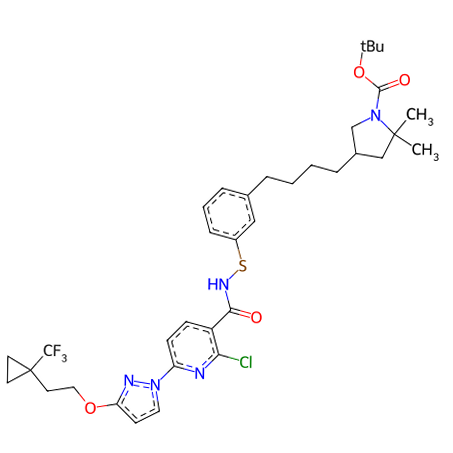 CC(C)(C)OC(=O)N1CC(CCCCc2cccc(SNC(=O)c3ccc(-n4ccc(OCCC5(C(F)(F)F)CC5)n4)nc3Cl)c2)CC1(C)C